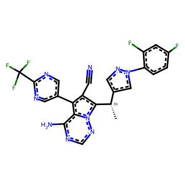 C[C@@H](c1cnn(-c2ccc(F)cc2F)c1)c1c(C#N)c(-c2cnc(C(F)(F)F)nc2)c2c(N)ncnn12